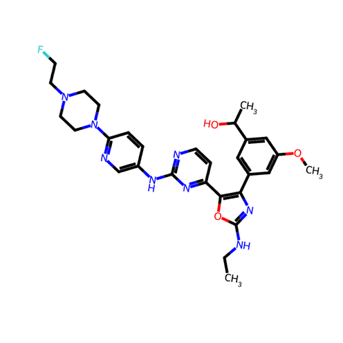 CCNc1nc(-c2cc(OC)cc(C(C)O)c2)c(-c2ccnc(Nc3ccc(N4CCN(CCF)CC4)nc3)n2)o1